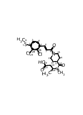 CSc1ccc(/C=C/C(=O)N2CCC(C(=O)N(C)C(C)CC(=O)O)CC2)c(Cl)c1Cl